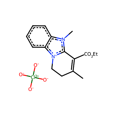 CCOC(=O)C1=C(C)CC[n+]2c1n(C)c1ccccc12.[O-][Cl+3]([O-])([O-])[O-]